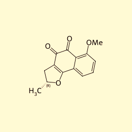 COc1cccc2c1C(=O)C(=O)C1=C2O[C@H](C)C1